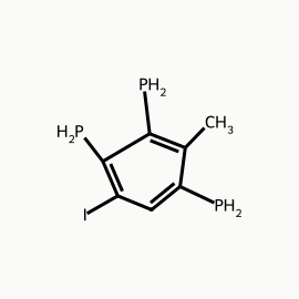 Cc1c(P)cc(I)c(P)c1P